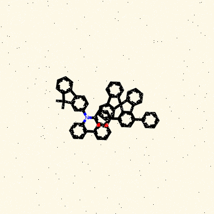 CC1(C)c2ccccc2-c2ccc(N(c3ccc(-c4ccc(-c5ccccc5)c5c4C4(c6ccccc6-c6ccccc64)c4ccccc4-5)cc3)c3ccccc3-c3ccccc3)cc21